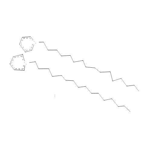 CCCCCCCCCCCCCCCC[n+]1ccccc1.CCCCCCCCCCCCCCCC[n+]1ccccc1.Cl